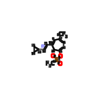 O=S(=O)(OC1=CC=C(C(F)(F)F)C=C(/C=C/C2CC2)C1)C(F)(F)F